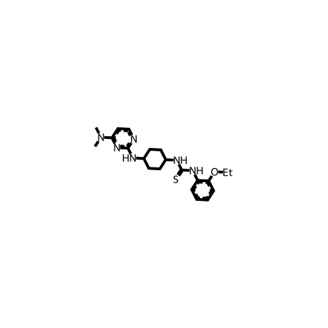 CCOc1ccccc1NC(=S)NC1CCC(Nc2nccc(N(C)C)n2)CC1